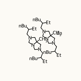 CCCCC(CC)CN1CN2CN(CC(CC)CCCC)CC2(C)C1.CCCCC(CC)CN1CN2CN(CC(CC)CCCC)CC2(C)C1.[Zn]